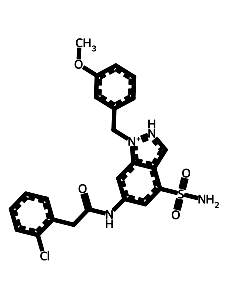 COc1cccc(C[n+]2[nH]cc3c(S(N)(=O)=O)cc(NC(=O)Cc4ccccc4Cl)cc32)c1